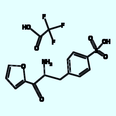 NC(Cc1ccc(S(=O)(=O)O)cc1)C(=O)c1ccco1.O=C(O)C(F)(F)F